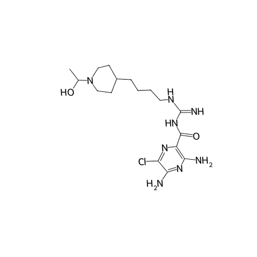 CC(O)N1CCC(CCCCNC(=N)NC(=O)c2nc(Cl)c(N)nc2N)CC1